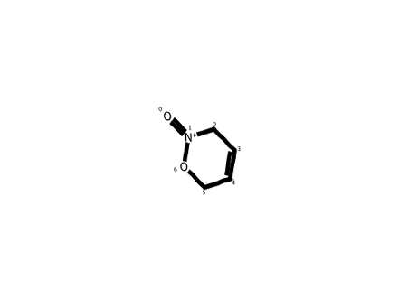 O=[N+]1CC=[C]CO1